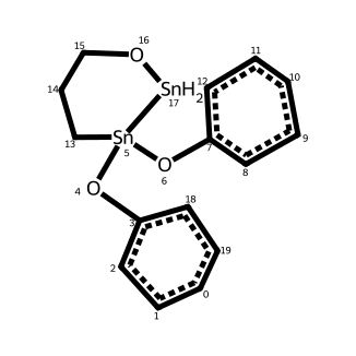 c1ccc([O][Sn]2([O]c3ccccc3)[CH2]CC[O][SnH2]2)cc1